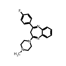 CN1CCN(C2=Nc3ccccc3N=C(c3ccc(F)cc3)C2)CC1